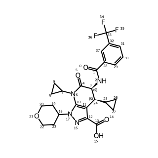 O=C(N[C@@H]1C(=O)N(C2CC2)c2c(c(C(=O)O)nn2C2CCOCC2)[C@@H]1C1CC1)c1cccc(C(F)(F)F)c1